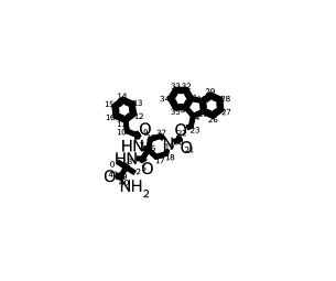 CC(C)(NC(=O)C1(NC(=O)Cc2ccccc2)CCN(C(=O)OCC2c3ccccc3-c3ccccc32)CC1)C(N)=O